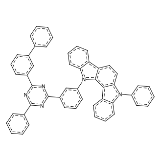 c1ccc(-c2cccc(-c3nc(-c4ccccc4)nc(-c4cccc(-n5c6ccccc6c6ccc7c(c8ccccc8n7-c7ccccc7)c65)c4)n3)c2)cc1